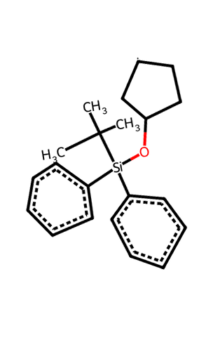 CC(C)(C)[Si](OC1C[CH]CC1)(c1ccccc1)c1ccccc1